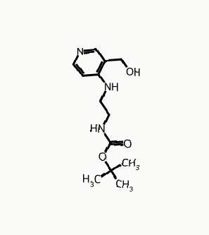 CC(C)(C)OC(=O)NCCNc1ccncc1CO